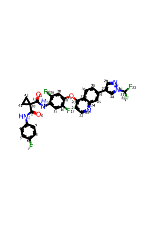 O=C(Nc1ccc(F)cc1)C1(C(=O)Nc2cc(F)c(Oc3ccnc4cc(-c5cnn(C(F)F)c5)ccc34)cc2F)CC1